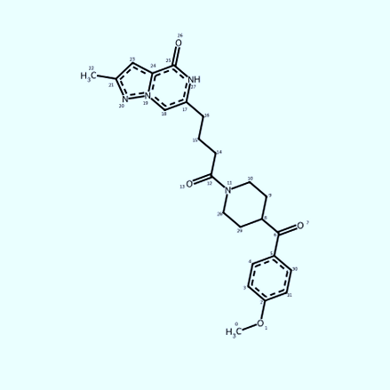 COc1ccc(C(=O)C2CCN(C(=O)CCCc3cn4nc(C)cc4c(=O)[nH]3)CC2)cc1